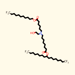 O=C(CCCCCN(CCO)CCCCCCCC(=O)OC(CCCCCCCC(F)(F)F)CCCCCCCC(F)(F)F)OCCCCCCCCCCC(F)(F)F